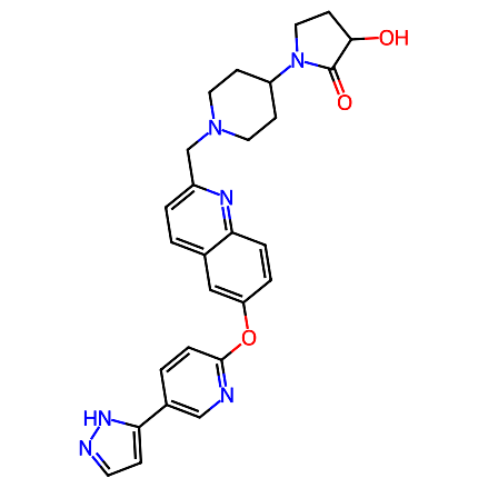 O=C1C(O)CCN1C1CCN(Cc2ccc3cc(Oc4ccc(-c5ccn[nH]5)cn4)ccc3n2)CC1